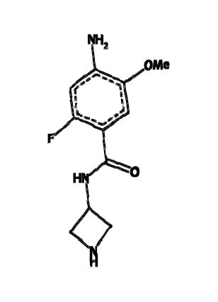 COc1cc(C(=O)NC2CNC2)c(F)cc1N